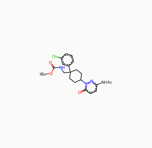 CC(=O)Nc1ccc(=O)n(C2CCC(CNC(=O)OC(C)(C)C)(c3cccc(Cl)c3)CC2)n1